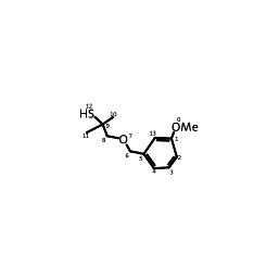 COc1cccc(COCC(C)(C)S)c1